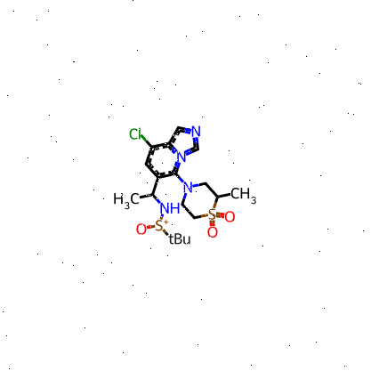 CC(N[S+]([O-])C(C)(C)C)c1cc(Cl)c2cncn2c1N1CCS(=O)(=O)C(C)C1